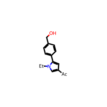 CCn1cc(C(C)=O)cc1-c1ccc(CO)cc1